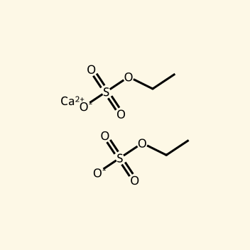 CCOS(=O)(=O)[O-].CCOS(=O)(=O)[O-].[Ca+2]